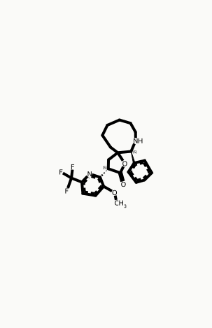 COc1ccc(C(F)(F)F)nc1[C@@H]1CC2(CCCCCCN[C@H]2c2ccccc2)OC1=O